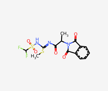 CSC(=NC(=O)C(C)N1C(=O)c2ccccc2C1=O)NS(=O)(=O)C(F)F